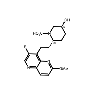 COc1ccc2ncc(F)c(CC[C@H]3CC[C@H](O)CN3C(=O)O)c2n1